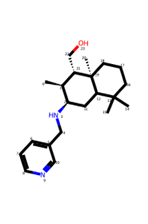 C[C@@H]1[C@H](NCc2cccnc2)CC2C(C)(C)CCC[C@]2(C)[C@H]1CO